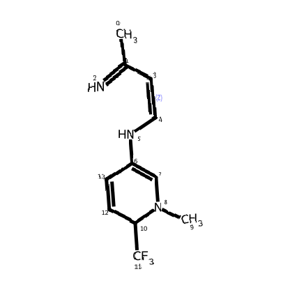 CC(=N)/C=C\NC1=CN(C)C(C(F)(F)F)C=C1